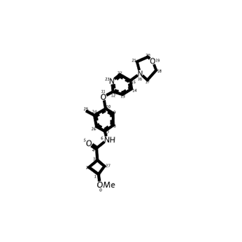 COC1CC(C(=O)Nc2ccc(Oc3ccc(N4CCOCC4)cn3)c(C)c2)C1